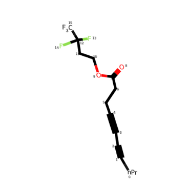 CCCC#CC#CCCC(=O)OCCC(F)(F)C(F)(F)F